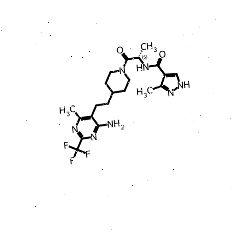 Cc1n[nH]cc1C(=O)N[C@@H](C)C(=O)N1CCC(CCc2c(C)nc(C(F)(F)F)nc2N)CC1